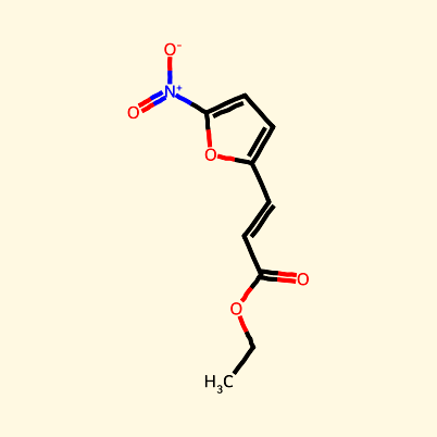 CCOC(=O)/C=C/c1ccc([N+](=O)[O-])o1